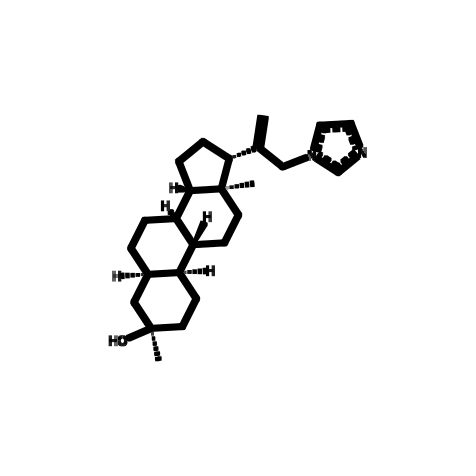 C=C(Cn1ccnc1)[C@H]1CC[C@H]2[C@@H]3CC[C@@H]4C[C@](C)(O)CC[C@@H]4[C@H]3CC[C@]12C